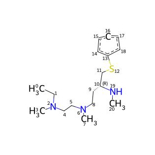 CCN(C)CCN(C)CC[C@H](CSc1ccccc1)NC